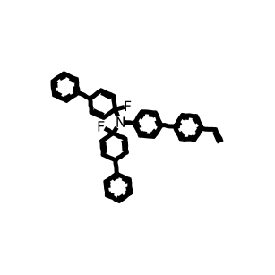 C=Cc1ccc(-c2ccc(N(C3(F)C=CC(c4ccccc4)C=C3)C3(F)C=CC(c4ccccc4)C=C3)cc2)cc1